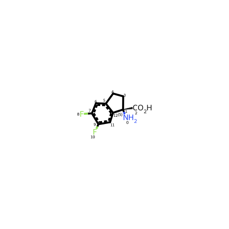 N[C@@]1(C(=O)O)CCc2cc(F)c(F)cc21